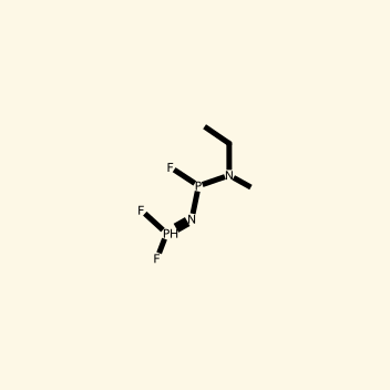 CCN(C)P(F)N=[PH](F)F